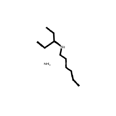 CCCCCCNC(CC)CC.N